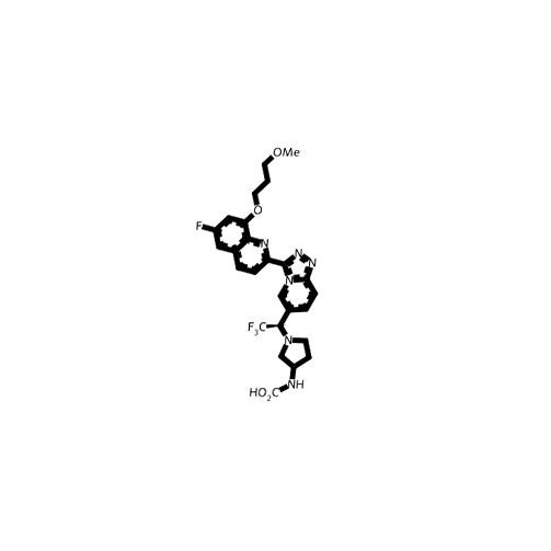 COCCCOc1cc(F)cc2ccc(-c3nnc4ccc([C@@H](N5CCC(NC(=O)O)C5)C(F)(F)F)cn34)nc12